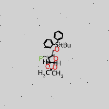 CC1(C)O[C@H]2O[C@H](CO[Si](c3ccccc3)(c3ccccc3)C(C)(C)C)[C@@H](CF)[C@H]2O1